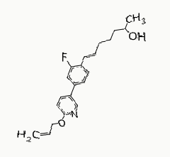 C=CCOc1ccc(-c2ccc(C=CCCCC(C)O)c(F)c2)cn1